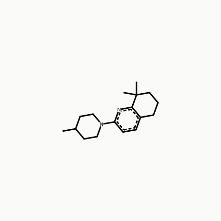 CC1CCN(c2ccc3c(n2)C(C)(C)CCC3)CC1